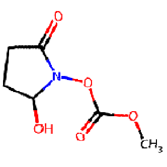 COC(=O)ON1C(=O)CCC1O